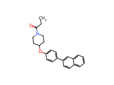 CCC(=O)N1CCC(Oc2ccc(-c3ccc4ccccc4c3)cc2)CC1